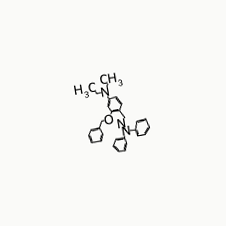 CCN(CC)c1ccc(C=NN(c2ccccc2)c2ccccc2)c(OCc2ccccc2)c1